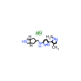 Cc1cnn(C)c1-c1ccc(NC[C@H]2C[C@H]3CNC[C@H]3C2)nn1.Cl.Cl